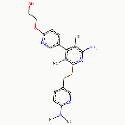 CCN(CC)c1ccc(CSc2nc(N)c(C#N)c(-c3ccc(OCCO)nc3)c2C#N)cn1